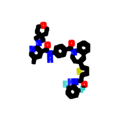 Cc1cnc(N2CC3(CCOCC3)C2)c(C(=O)Nc2ccc(C(=O)N3CCC(c4ccc(C(=O)Nc5c(F)cccc5F)s4)=Cc4ccccc43)cc2)c1